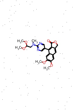 COc1cc2cc3c(c(-c4cnc(N(C)CC(OC)OC)nc4)c2cc1OC)C(=O)OC3